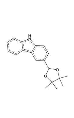 CC1(C)OC(c2ccc3[nH]c4ccccc4c3c2)OC1(C)C